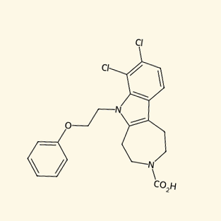 O=C(O)N1CCc2c(n(CCOc3ccccc3)c3c(Cl)c(Cl)ccc23)CC1